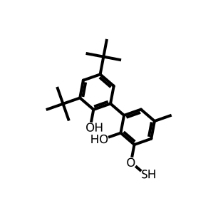 Cc1cc(OS)c(O)c(-c2cc(C(C)(C)C)cc(C(C)(C)C)c2O)c1